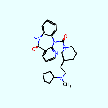 CN(CCC1CCCN(C(=O)N2c3ccccc3NC(=O)c3cccnc32)C1)C1CCCC1